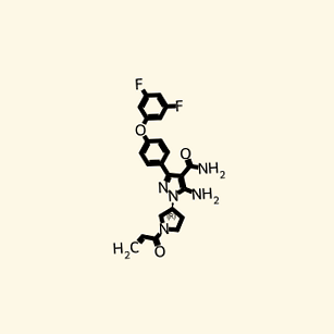 C=CC(=O)N1CC[C@@H](n2nc(-c3ccc(Oc4cc(F)cc(F)c4)cc3)c(C(N)=O)c2N)C1